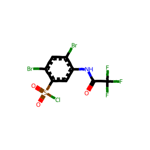 O=C(Nc1cc(S(=O)(=O)Cl)c(Br)cc1Br)C(F)(F)F